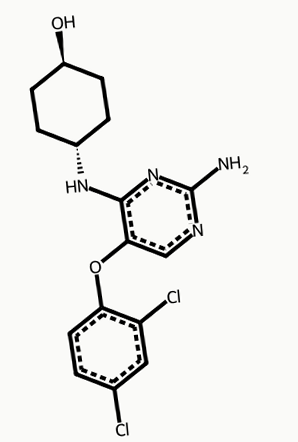 Nc1ncc(Oc2ccc(Cl)cc2Cl)c(N[C@H]2CC[C@H](O)CC2)n1